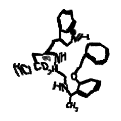 CC(NCCN[C@@H](CC(=O)O)Cc1c[nH]c2ccccc12)c1ccccc1OCc1ccccc1.Cl